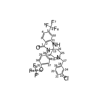 O=C1c2ccc(C(F)(F)F)cc2NC2(CCN(Cc3cccc(Cl)c3)CC2)N1c1ccc(OC(F)(F)F)cc1